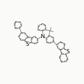 CC1(C)c2ccccc2N(c2ccc3sc4ccc(-c5ccccc5)cc4c3c2)c2ccc(-c3ccc4sc5ccccc5c4c3)cc21